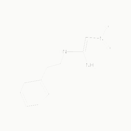 NC(=C[N+](=O)[O-])NCCC1=CCC=CC1